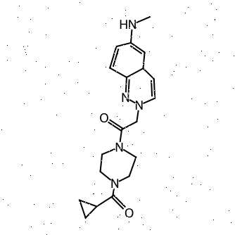 CNC1=CC2C=CN(CC(=O)N3CCN(C(=O)C4CC4)CC3)N=C2C=C1